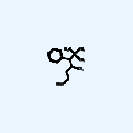 CCCCCCCCCCCC(C)C(c1ccccc1)[N+](C)(C)C